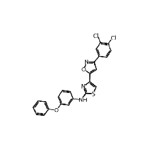 Clc1ccc(-c2cc(-c3csc(Nc4cccc(Oc5ccccc5)c4)n3)on2)cc1Cl